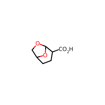 O=C(O)C1CCC2COC1O2